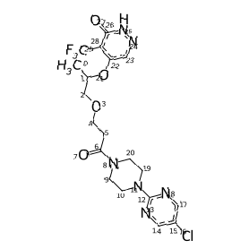 CC(COCCC(=O)N1CCN(c2ncc(Cl)cn2)CC1)Oc1cn[nH]c(=O)c1C(F)(F)F